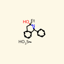 CCC1(O)Cc2ccccc2C(c2ccccc2)=N1.CS(=O)(=O)O